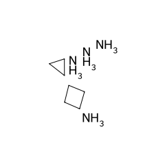 C1CC1.C1CCC1.N.N.N.N